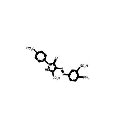 Nc1ccc(N=Nc2c(C(=O)O)[nH]n(-c3ccc(S(=O)(=O)O)cc3)c2=O)cc1S(=O)(=O)O